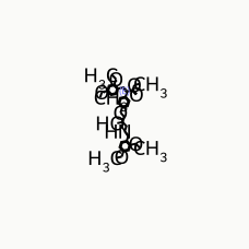 COC(=O)/C(=C/c1ccc(OC)cc1OC)c1ccc(OCC(O)CNCc2ccc(OC)cc2OC)cc1